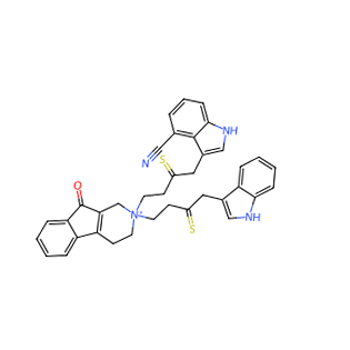 N#Cc1cccc2[nH]cc(CC(=S)CC[N+]3(CCC(=S)Cc4c[nH]c5ccccc45)CCC4=C(C3)C(=O)c3ccccc34)c12